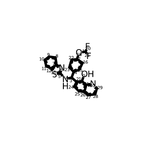 Oc1c(C(Nc2nc3ccccc3s2)c2ccc(OC(F)F)cc2)ccc2cccnc12